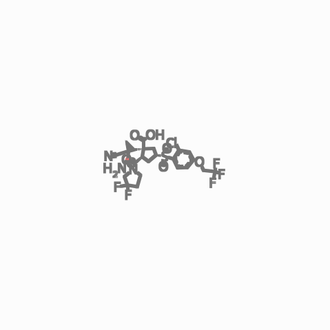 N#CC1(C(N)=O)CC1[C@]1(C(=O)O)C[C@H](S(=O)(=O)c2ccc(OCC(F)(F)F)cc2Cl)C[C@H]1C(=O)N1CCC(F)(F)C1